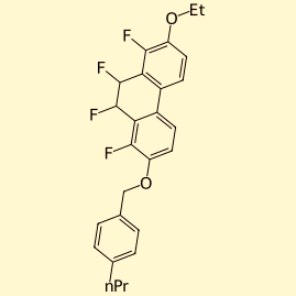 CCCc1ccc(COc2ccc3c(c2F)C(F)C(F)c2c-3ccc(OCC)c2F)cc1